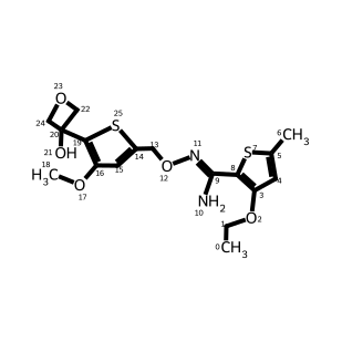 CCOc1cc(C)sc1/C(N)=N/OCc1cc(OC)c(C2(O)COC2)s1